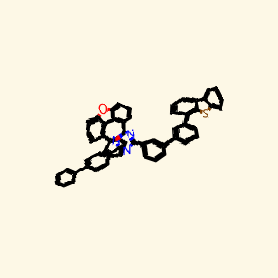 c1ccc(-c2ccc(-c3nc(-c4cccc(-c5cccc(-c6cccc7c6sc6ccccc67)c5)c4)nc(-c4cccc5oc6cccc(-c7ccccc7)c6c45)n3)cc2)cc1